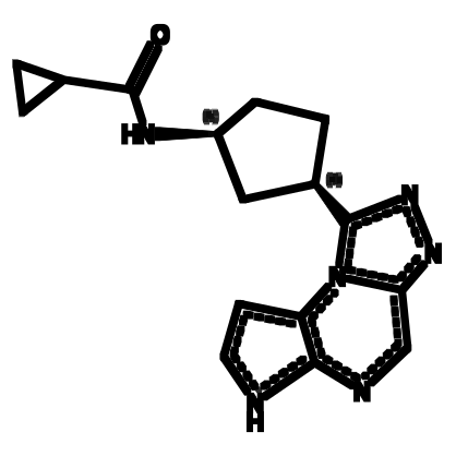 O=C(N[C@H]1CC[C@@H](c2nnc3cnc4[nH]ccc4n23)C1)C1CC1